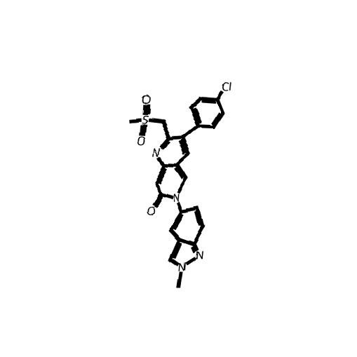 Cn1cc2cc(-n3cc4cc(-c5ccc(Cl)cc5)c(CS(C)(=O)=O)nc4cc3=O)ccc2n1